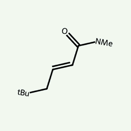 CNC(=O)/C=C/CC(C)(C)C